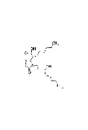 CCCCCCC(C(=O)O)C1SCC(=O)N1CCC(O)CCCCC